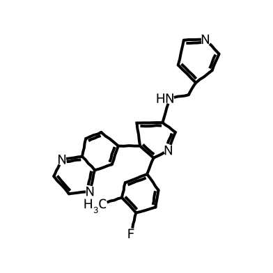 Cc1cc(-c2ncc(NCc3ccncc3)cc2-c2ccc3nccnc3c2)ccc1F